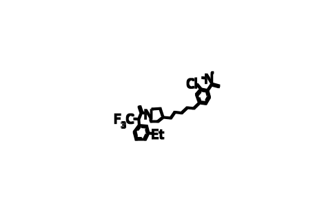 C=C(c1ccc(CCCCCC2CCN(C(=C)C(c3cccc(CC)c3)C(F)(F)F)CC2)cc1Cl)N(C)C